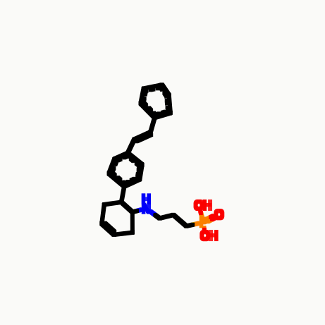 O=P(O)(O)CCCNC1CC=CCC1c1ccc(C=Cc2ccccc2)cc1